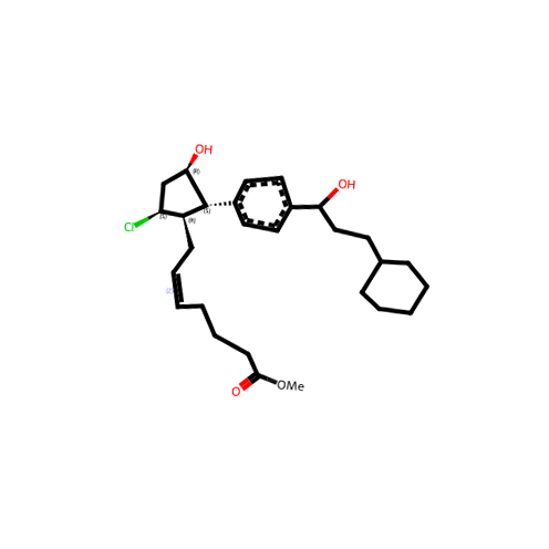 COC(=O)CCC/C=C\C[C@@H]1[C@@H](c2ccc(C(O)CCC3CCCCC3)cc2)[C@H](O)C[C@@H]1Cl